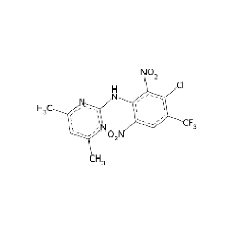 Cc1cc(C)nc(Nc2c([N+](=O)[O-])cc(C(F)(F)F)c(Cl)c2[N+](=O)[O-])n1